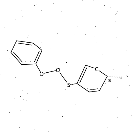 C[C@@H]1C=CC(SOOc2ccccc2)=CC1